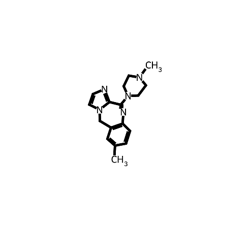 Cc1ccc2c(c1)Cn1ccnc1C(N1CCN(C)CC1)=N2